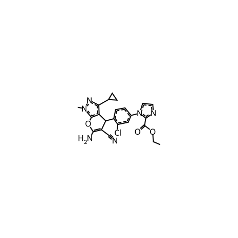 CCOC(=O)c1nccn1-c1ccc(C2C(C#N)=C(N)Oc3c2c(C2CC2)nn3C)c(Cl)c1